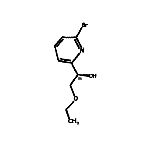 CCOC[C@H](O)c1cccc(Br)n1